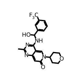 Cc1nc(NC(O)c2cccc(C(F)(F)F)c2)c2cn(C3CCOCC3)c(=O)cc2n1